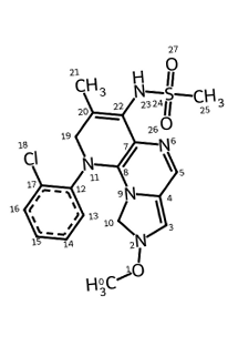 CON1C=C2C=NC3=C(N2C1)N(c1ccccc1Cl)CC(C)=C3NS(C)(=O)=O